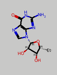 C[CH][C@H]1O[C@@H](n2cnc3c(=O)[nH]c(N)nc32)[C@H](O)[C@@H]1O